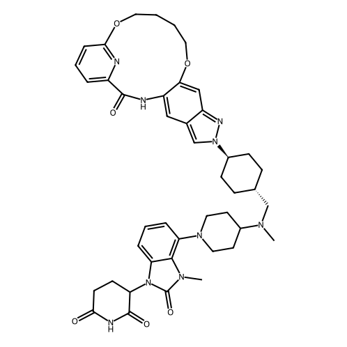 CN(C[C@H]1CC[C@H](n2cc3cc4c(cc3n2)OCCCCOc2cccc(n2)C(=O)N4)CC1)C1CCN(c2cccc3c2n(C)c(=O)n3C2CCC(=O)NC2=O)CC1